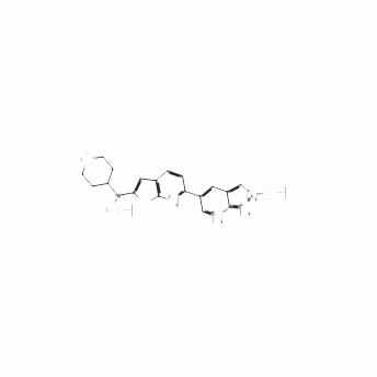 Cn1cc2cc(-c3ccc4cc([C@H](O)C5CCOCC5)sc4n3)cnc2n1